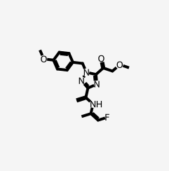 C=C(N/C(C)=C\F)c1nc(C(=O)COC)n(Cc2ccc(OC)cc2)n1